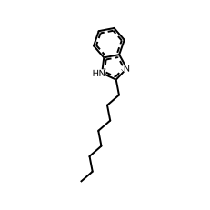 CCCCCCCCc1nc2ccccc2[nH]1